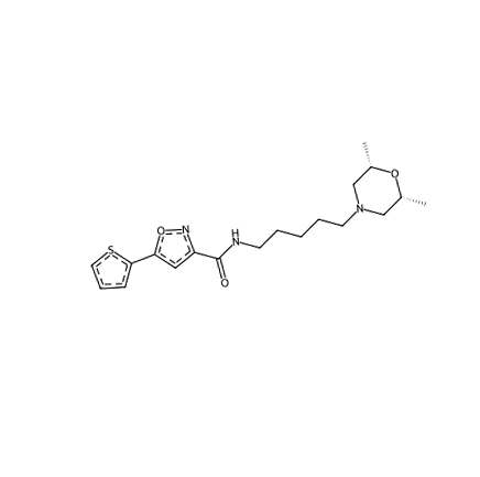 C[C@@H]1CN(CCCCCNC(=O)c2cc(-c3cccs3)on2)C[C@H](C)O1